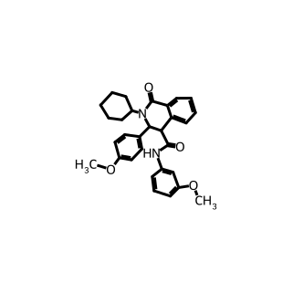 COc1ccc(C2C(C(=O)Nc3cccc(OC)c3)c3ccccc3C(=O)N2C2CCCCC2)cc1